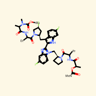 CCC(NC(=O)C(C)N(C)C(=O)OC(C)(C)C)C(=O)N1C[C@@H](F)C[C@H]1Cc1c(-c2nc3cc(F)ccc3n2C[C@@H]2CCCN2C(=O)C(NC(=O)C(C)OC(=O)NC)C(C)C)[nH]c2cc(F)ccc12